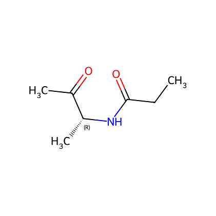 CCC(=O)N[C@H](C)C(C)=O